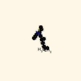 CC1(C)c2ccccc2-c2cc(-c3ccc(-c4ccc(-c5ccc(-c6cc7c8ccc9ccccc9c8sc7c7nc8cc9cc%10ccccc%10cc9cc8n67)cc5)c5ccccc45)cc3)ccc21